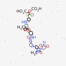 Cn1c(=O)n(C2CCC(=O)NC2=O)c2ccc(N3CCCC4(CN(C(=O)Nc5cccc(CS(=O)(=O)N6CC[C@H](Nc7cccc(-c8sc(C(=O)O)c(OCC(=O)O)c8Cl)c7)CC6(C)C)c5)C4)C3)cc21